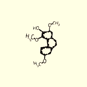 COc1ccc2c(ccc3cc(OC)c(O)c(OC)c32)c1